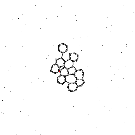 c1ccc(-c2nc3ccccc3nc2-c2ccccc2-n2c3ccc4cccc5c4c3c3c4c(ccc6cccc-5c64)ccc32)cc1